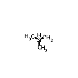 C[SiH](C)P